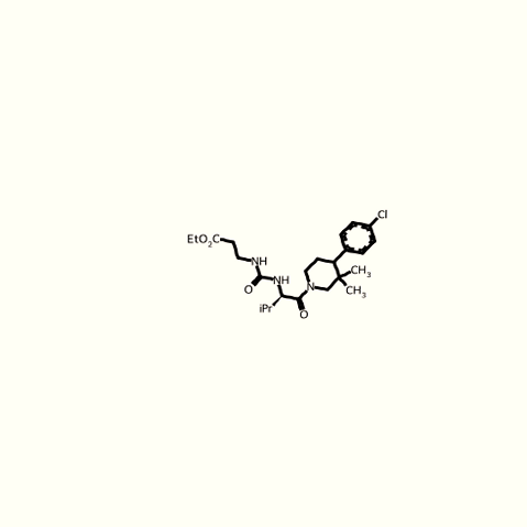 CCOC(=O)CCNC(=O)N[C@@H](C(=O)N1CCC(c2ccc(Cl)cc2)C(C)(C)C1)C(C)C